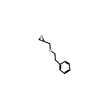 [CH](Cc1ccccc1)OCC1CO1